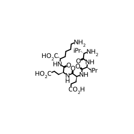 CC(C)[C@H](N)C(=O)N[C@H](C(=O)N[C@@H](CCC(=O)O)C(=O)N[C@@H](CCC(=O)O)C(=O)N[C@@H](CCCCN)C(=O)O)C(C)C